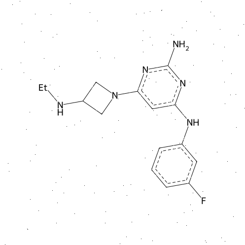 CCNC1CN(c2cc(Nc3cccc(F)c3)nc(N)n2)C1